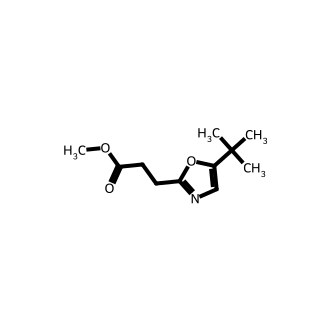 COC(=O)CCc1ncc(C(C)(C)C)o1